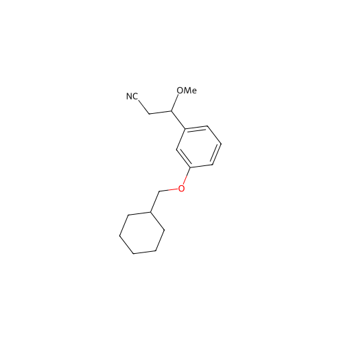 COC(CC#N)c1cccc(OCC2CCCCC2)c1